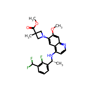 COC(=O)C1(C)CN(c2cc3c(N[C@H](C)c4cccc(C(F)F)c4F)ccnc3cc2OC)C1